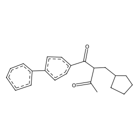 CC(=O)C(CC1CCCC1)C(=O)c1ccc(-c2ccccc2)cc1